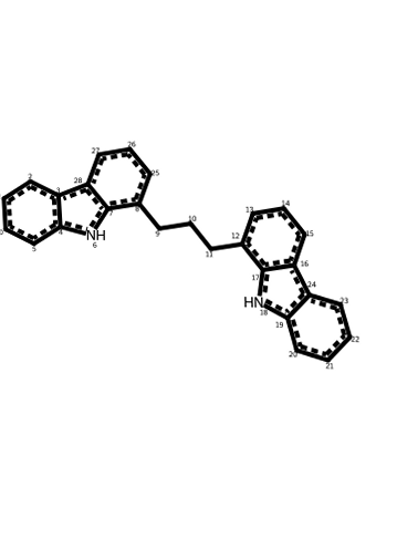 c1ccc2c(c1)[nH]c1c(CCCc3cccc4c3[nH]c3ccccc34)cccc12